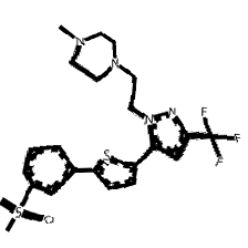 CN1CCN(CCn2nc(C(F)(F)F)cc2-c2ccc(-c3cccc(S(C)(=O)=O)c3)s2)CC1